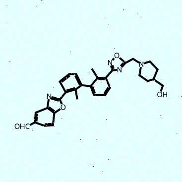 Cc1c(-c2noc(CN3CCC(CO)CC3)n2)cccc1-c1cccc(-c2nc3cc(C=O)ccc3o2)c1C